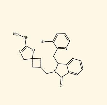 N#CNC1=NCC2(CC(CN3C(=O)c4ccccc4C3Cc3ncccc3Br)C2)O1